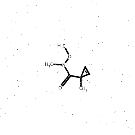 CON(C)C(=O)C1(C)C=C1